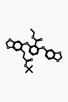 CCOC(=O)c1c(Oc2ccc3c(c2)OCO3)cccc1Oc1cc2c(cc1CCC(=O)OC(C)(C)C)OCO2